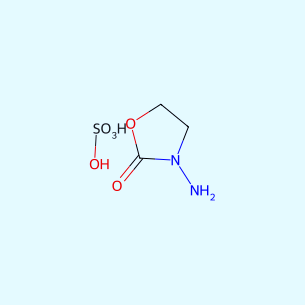 NN1CCOC1=O.O=S(=O)(O)O